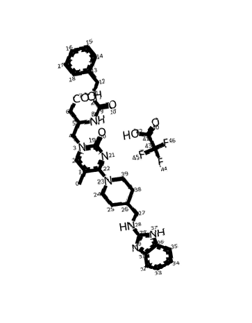 Cc1cn(CC(CC(=O)O)NC(=O)OCc2ccccc2)c(=O)nc1N1CCC(CNc2nc3ccccc3[nH]2)CC1.O=C(O)C(F)(F)F